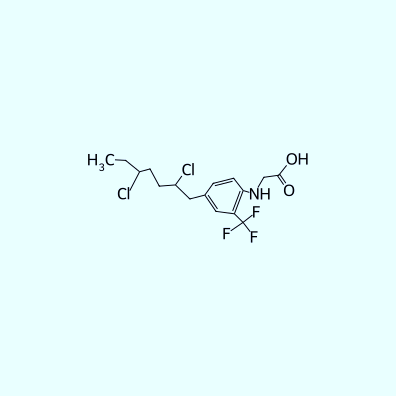 CCC(Cl)CCC(Cl)Cc1ccc(NCC(=O)O)c(C(F)(F)F)c1